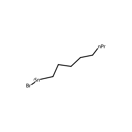 CCCCCCC[CH2][Sn][Br]